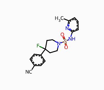 Cc1cccc(NS(=O)(=O)N2CCC(F)(c3ccc(C#N)cc3)CC2)n1